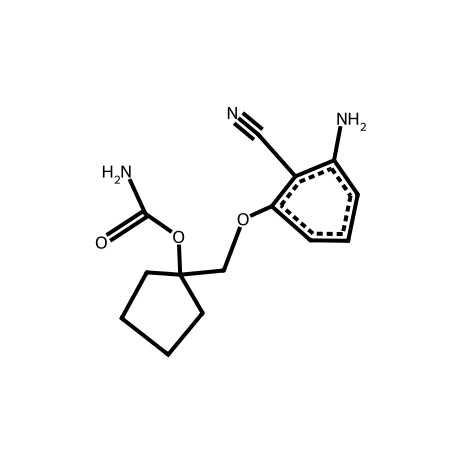 N#Cc1c(N)cccc1OCC1(OC(N)=O)CCCC1